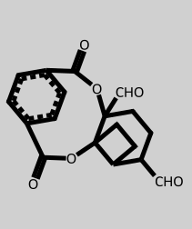 O=CC1CCC2(C=O)OC(=O)c3ccc(cc3)C(=O)OC23CCC13